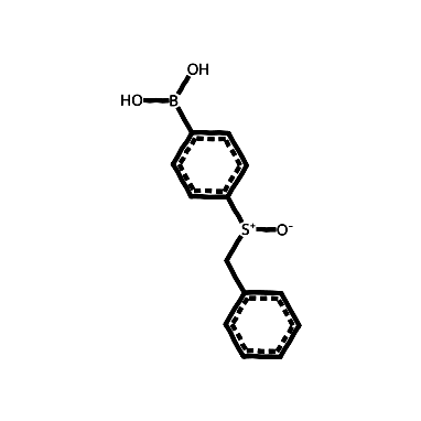 [O-][S+](Cc1ccccc1)c1ccc(B(O)O)cc1